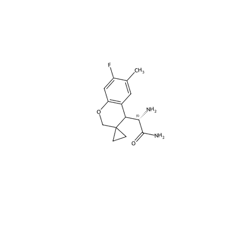 Cc1cc2c(cc1F)OCC1(CC1)C2[C@H](N)C(N)=O